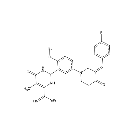 CCCC(=N)C1=C(C)C(=O)NC(c2cc(N3CCC(=O)/C(=C/c4ccc(F)cc4)C3)ccc2OCC)N1